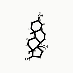 CCC1CCC2(O)C3CCC4CC(O)CCC4(C)C3CCC12C